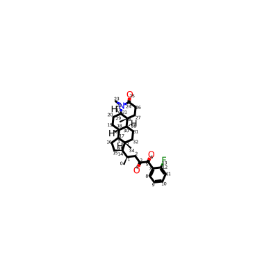 C[C@H](CC(=O)C(=O)c1ccccc1F)[C@H]1CC[C@H]2[C@@H]3CC[C@H]4N(C)C(=O)CC[C@]4(C)[C@H]3CC[C@]12C